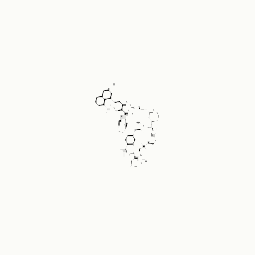 CCc1cccc2cc(O)cc(-c3ncc4c(N5CC6CCC(C5)N6)nc(OCCC5CC(C(C)ON6CC=C(C(C)(C)CC(=O)[C@]7(C(=O)N[C@@H](C)c8ccc(-c9scnc9C)cc8)CC(O)CN7)O6)CCN5)nc4c3F)c12